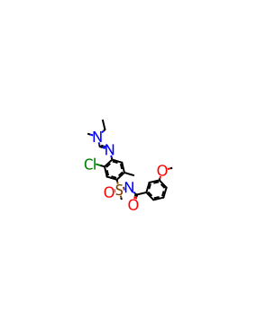 CCN(C)/C=N/c1cc(C)c(S(C)(=O)=NC(=O)c2cccc(OC)c2)cc1Cl